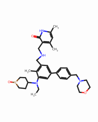 CCN(c1cc(-c2ccc(CN3CCOCC3)cc2)cc(CNCc2c(C)cc(C)[nH]c2=O)c1C)C1CC[S+]([O-])CC1